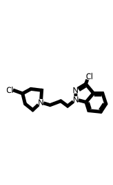 Clc1nn(CCCN2CCC(Cl)CC2)c2ccccc12